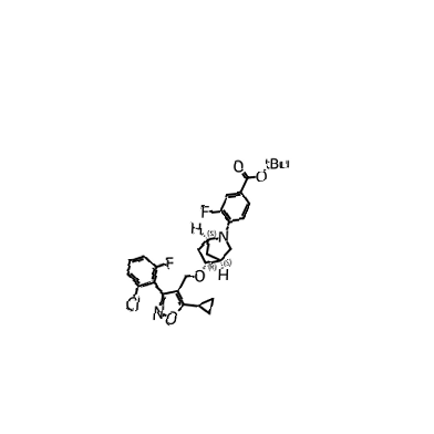 CC(C)(C)OC(=O)c1ccc(N2C[C@@H]3C[C@H]2C[C@H]3OCc2c(-c3c(F)cccc3Cl)noc2C2CC2)c(F)c1